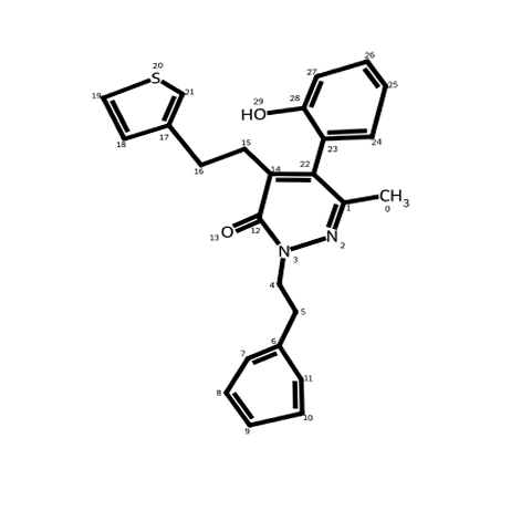 Cc1nn(CCc2ccccc2)c(=O)c(CCc2ccsc2)c1-c1ccccc1O